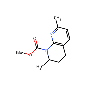 Cc1ccc2c(n1)N(C(=O)OC(C)(C)C)C(C)CC2